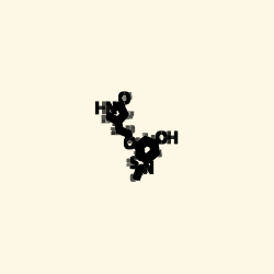 Cc1nc2cc(O)cc(OCCC3CNC(=O)C3)c2s1